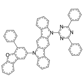 c1ccc(-c2nc(-c3ccccc3)nc(-n3c4ccccc4c4cc5c(cc43)c3ccccc3n5-c3cc(-c4ccccc4)c4oc5ccccc5c4c3)n2)cc1